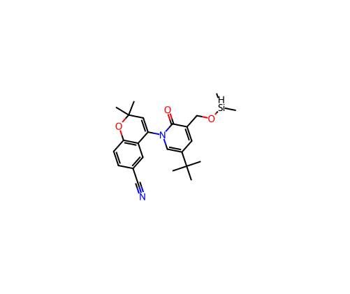 C[SiH](C)OCc1cc(C(C)(C)C)cn(C2=CC(C)(C)Oc3ccc(C#N)cc32)c1=O